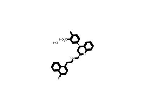 Cc1ccc([C@@H]2C[C@H](CNCCc3ccc(F)c4ccccc34)Oc3ccccc32)cc1C(=O)O.Cl